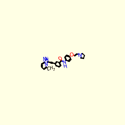 Cc1cccc2nnc(C#Cc3cccc(C(=O)Nc4ccc(OCCN5CCCC5)cc4)c3)n12